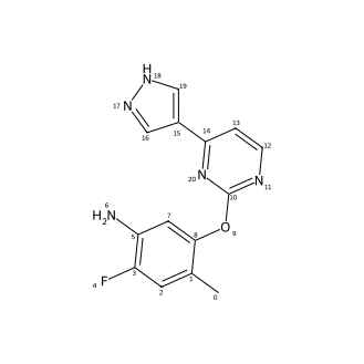 Cc1cc(F)c(N)cc1Oc1nccc(-c2cn[nH]c2)n1